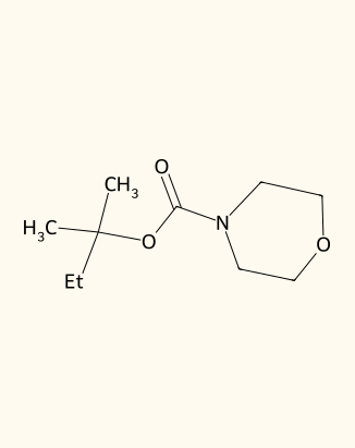 CCC(C)(C)OC(=O)N1CCOCC1